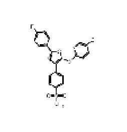 CS(=O)(=O)c1ccc(-c2nc(-c3ccc(F)cc3)oc2Sc2ccc(Cl)cn2)cc1